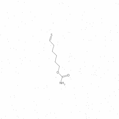 NC(=O)OCCCCCC=S